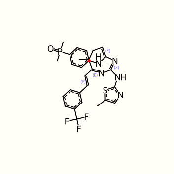 Cc1cnc(NC2=N/C(Nc3ccc(P(C)(C)=O)cc3)=C/CC(C)C(/C=C/c3cccc(C(F)(F)F)c3)=N\2)s1